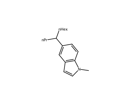 CCCCCCC(CCC)c1ccc2c(ccn2C)c1